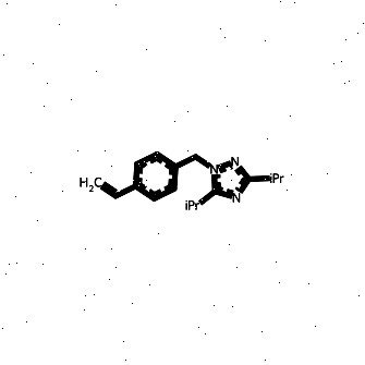 C=Cc1ccc(Cn2nc(C(C)C)nc2C(C)C)cc1